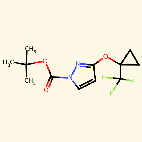 CC(C)(C)OC(=O)n1ccc(OC2(C(F)(F)F)CC2)n1